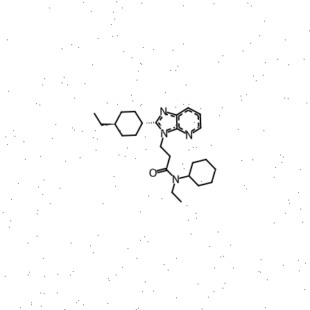 CCN(C(=O)CCn1c2ncccc2nc1[C@H]1CC[C@H](CC)CC1)C1CCCCC1